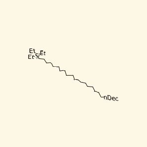 CCCCCCCCCCCCCCCCCCCCCCCCCCCC[CH][Si](CC)(CC)CC